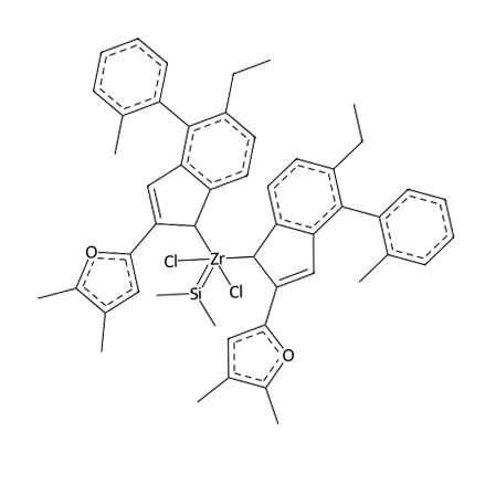 CCc1ccc2c(c1-c1ccccc1C)C=C(c1cc(C)c(C)o1)[CH]2[Zr]([Cl])([Cl])([CH]1C(c2cc(C)c(C)o2)=Cc2c1ccc(CC)c2-c1ccccc1C)=[Si](C)C